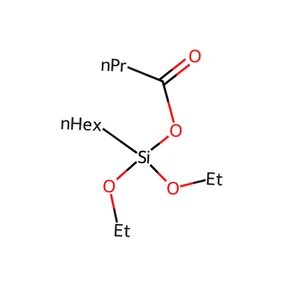 CCCCCC[Si](OCC)(OCC)OC(=O)CCC